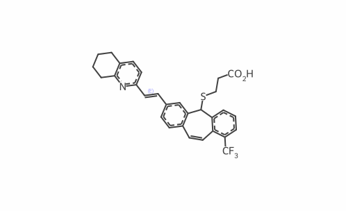 O=C(O)CCSC1c2cc(/C=C/c3ccc4c(n3)CCCC4)ccc2C=Cc2c1cccc2C(F)(F)F